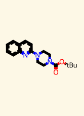 CC(C)(C)OC(=O)N1CCN(c2ccc3ccccc3n2)CC1